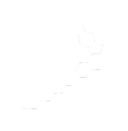 CNCCCCCCOc1ccc(-c2c[nH]c3cc(Br)ccc23)c(F)c1